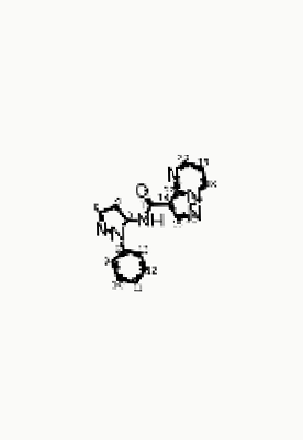 O=C(NC1CC=NN1c1ccccc1)c1cnn2cccnc12